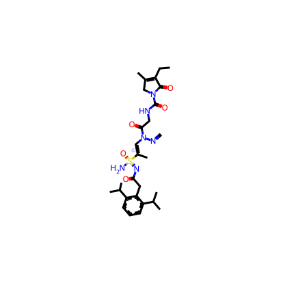 C=NN(/C=C(\C)S(N)(=O)=NC(=O)Cc1c(C(C)C)cccc1C(C)C)C(=O)CNC(=O)N1CC(C)=C(CC)C1=O